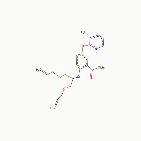 C=CCOCC(COCC=C)Nc1ccc(Oc2ncccc2C(F)(F)F)cc1C(=O)OC